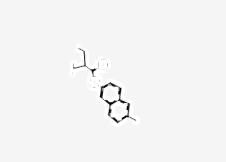 CCC(I)C(=O)Oc1ccc2cc(C)ccc2c1